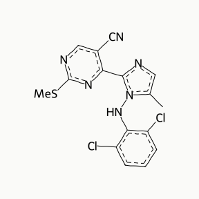 CSc1ncc(C#N)c(-c2ncc(C)n2Nc2c(Cl)cccc2Cl)n1